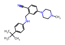 CN1CCN(c2ccc(C#N)c(CNc3ccc(C(C)(C)C)cc3)c2)CC1